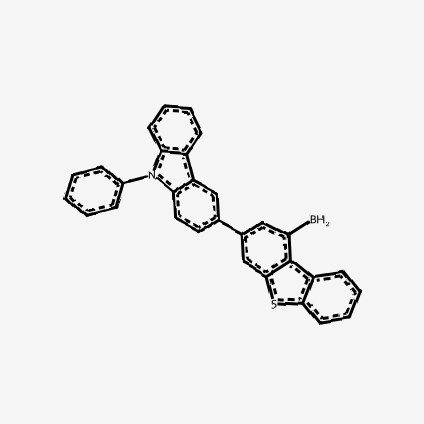 Bc1cc(-c2ccc3c(c2)c2ccccc2n3-c2ccccc2)cc2sc3ccccc3c12